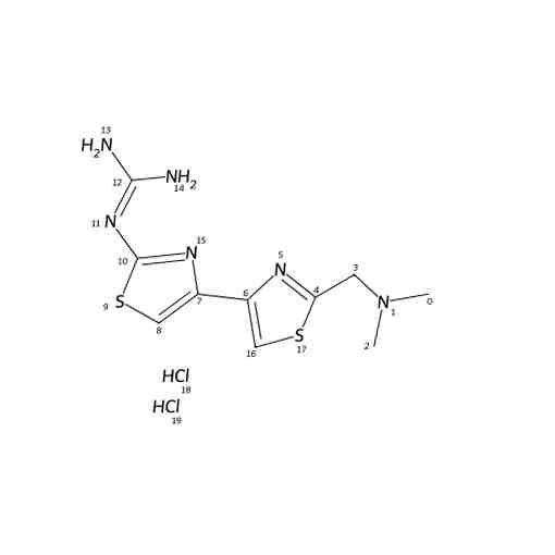 CN(C)Cc1nc(-c2csc(N=C(N)N)n2)cs1.Cl.Cl